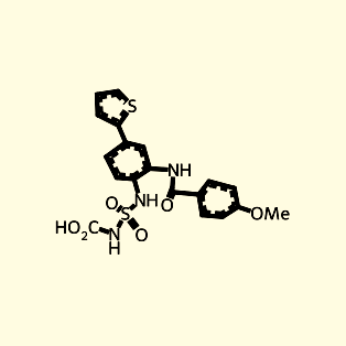 COc1ccc(C(=O)Nc2cc(-c3cccs3)ccc2NS(=O)(=O)NC(=O)O)cc1